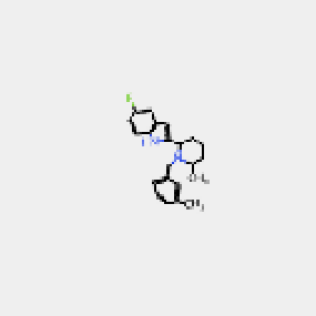 Cc1cccc(CN2C(C)CCCC2c2cc3cc(F)ccc3[nH]2)c1